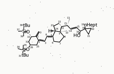 C=C1/C(=C\C=C2/CCC[C@]3(C)[C@@H]([C@H](C)/C=C/[C@H](O)C4(CCCCCCC)CC4)CC[C@@H]23)C[C@@H](O[Si](C)(C)C(C)(C)C)C[C@@H]1O[Si](C)(C)C(C)(C)C